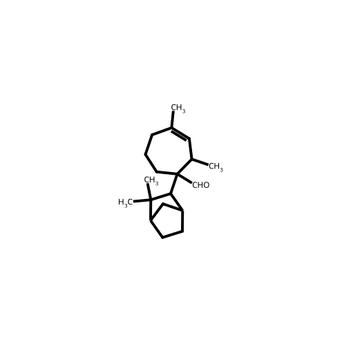 CC1=CC(C)C(C=O)(C2C3CCC(C3)C2(C)C)CCC1